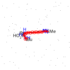 CSc1ncc(-c2cn(CCOCCOCCOCCOCCOCCOCCOCCOCCOCC(=O)N[C@H](C(=O)N[C@@H](CCCCNC(=O)OC(C)(C)C)C(=O)O)C(C)C)nn2)cn1